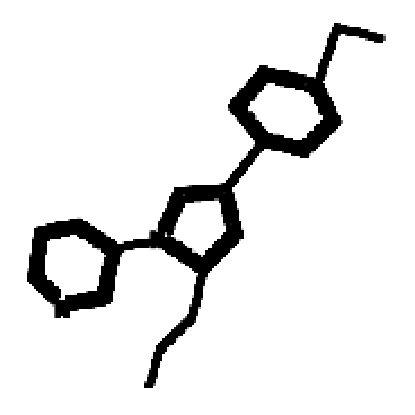 CCCc1cc(-c2ccc(CC)cc2)cn1-c1cccnc1